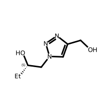 CC[C@H](O)Cn1cc(CO)nn1